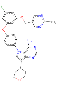 Cc1ncc(COc2cc(F)cc(Oc3ccc(-n4cc(C5CCOCC5)c5ncnc(N)c54)cc3)c2)cn1